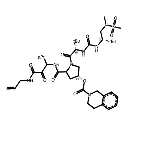 C=CCNC(=O)C(=O)C(CCC)NC(=O)C1C[C@@H](OC(=O)N2CCc3ccccc3C2)CN1C(=O)[C@@H](NC(=O)N[C@H](CN(C)S(C)(=O)=O)C(C)(C)C)C(C)(C)C